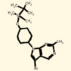 Cc1ncc2c(Br)cn(C3CCC(O[Si](C)(C)C(C)(C)C)CC3)c2n1